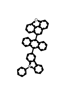 c1ccc(-n2c3ccccc3c3cc(-c4c5ccccc5c(-c5cc6cccc7oc8cccc5c8c67)c5ccccc45)ccc32)cc1